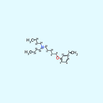 C=Cc1cccc(OCCCCCN(CCCC)CCCC)c1